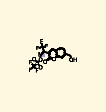 O=c1oc2cc(CO)ccc2cc1/C(=N\OS(=O)(=O)C(F)(F)F)C(F)(F)F